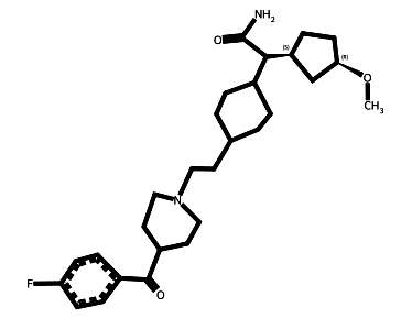 CO[C@@H]1CC[C@H](C(C(N)=O)C2CCC(CCN3CCC(C(=O)c4ccc(F)cc4)CC3)CC2)C1